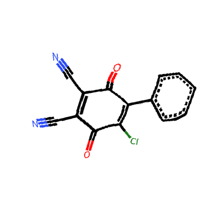 N#CC1=C(C#N)C(=O)C(c2ccccc2)=C(Cl)C1=O